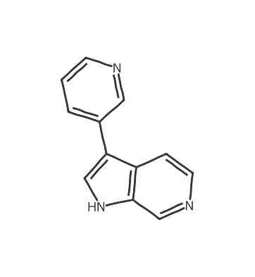 c1cncc(-c2c[nH]c3cnccc23)c1